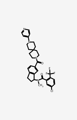 CN(C(=O)c1cc(Cl)ccc1C(F)(F)F)C1CCc2ccc(C(=O)N3CCC4(CC3)CCN(c3ccncc3)CC4)cc21